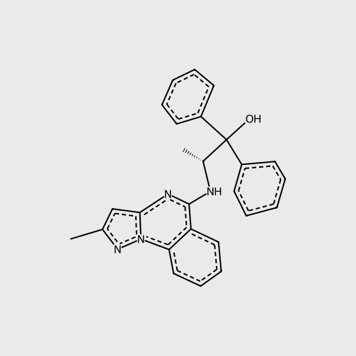 Cc1cc2nc(N[C@H](C)C(O)(c3ccccc3)c3ccccc3)c3ccccc3n2n1